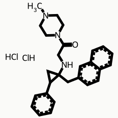 CN1CCN(C(=O)CNC2(Cc3ccc4ccccc4c3)CC2c2ccccc2)CC1.Cl.Cl